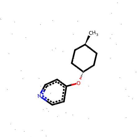 C[C@H]1CC[C@H](Oc2ccncc2)CC1